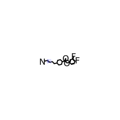 N#C/C=C/CCC1CCC(C(=O)Oc2ccc(F)c(F)c2)CC1